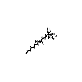 CCCCCCCNC(=O)CCSC(N)(N)N